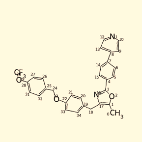 Cc1oc(-c2ccc(-c3ccncc3)cc2)nc1Cc1ccc(OCc2ccc(OC(F)(F)F)cc2)cc1